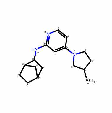 [AsH2]C1CCN(c2ccnc(NC3CC4CCC3C4)c2)C1